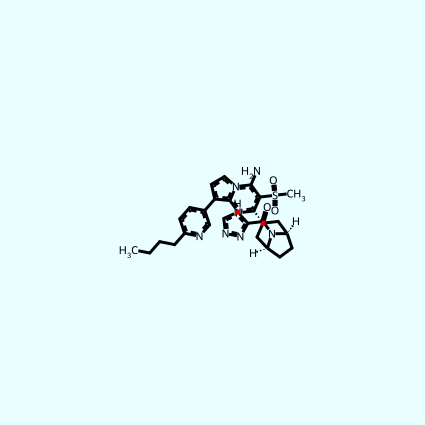 CCCCc1ccc(-c2ccn3c(N)c(S(C)(=O)=O)c([C@@H]4C[C@H]5CC[C@@H](C4)N5C(=O)c4nnc[nH]4)nc23)cn1